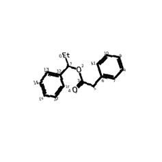 CCC(OC(=O)Cc1ccccc1)c1ccccc1